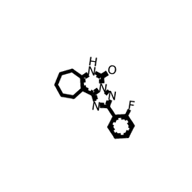 O=c1[nH]c2c(c3nc(-c4ccccc4F)nn13)CCCCC2